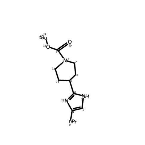 CCCc1c[nH]c(C2CCN(C(=O)OC(C)(C)C)CC2)n1